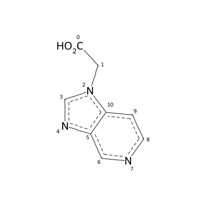 O=C(O)Cn1cnc2cnccc21